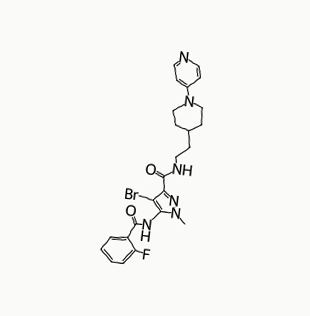 Cn1nc(C(=O)NCCC2CCN(c3ccncc3)CC2)c(Br)c1NC(=O)c1ccccc1F